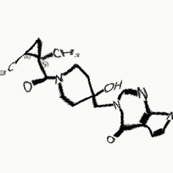 C[C@]1(C(=O)N2CCC(O)(Cn3cnc4[nH]ccc4c3=O)CC2)C[C@@H]1C(F)(F)F